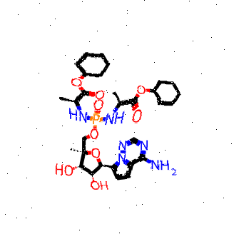 C[C@H](NP(=O)(N[C@@H](C)C(=O)OC1CCCCC1)OC[C@@]1(C)O[C@@H](c2ccc3c(N)ncnn23)[C@H](O)[C@@H]1O)C(=O)OC1CCCCC1